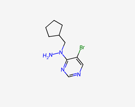 NN(CC1CCCC1)c1ncncc1Br